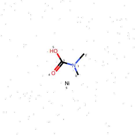 CN(C)C(=O)O.[Ni]